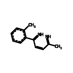 CC(=N)/C=C\C(=N)c1ccccc1C